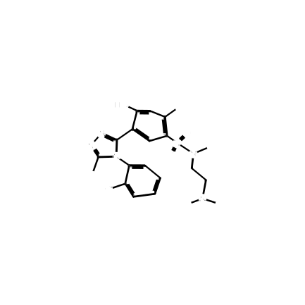 Cc1nnc(-c2cc(S(=O)(=O)N(C)CCN(C)C)c(O)cc2O)n1-c1ccccc1Cl